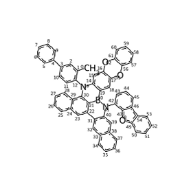 Cc1cc(-c2ccccc2)ccc1N1c2cc3c(cc2B2c4c(cc5ccccc5c41)-c1cc4ccccc4cc1N2c1cccc2c1oc1ccccc12)Oc1ccccc1O3